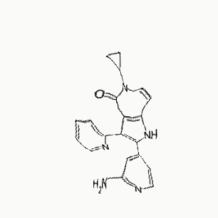 Nc1cc(-c2[nH]c3ccn(C4CC4)c(=O)c3c2-c2ccccn2)ccn1